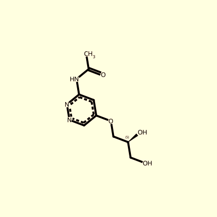 CC(=O)Nc1cc(OC[C@@H](O)CO)cnn1